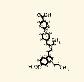 CCCn1cc(CCN(CC)CC2CCN(c3ncc(C(=O)O)cn3)CC2)c2ccc(OC)cc21